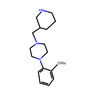 COc1ccccc1N1CCN(CC2CCCNC2)CC1